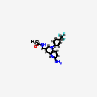 CC(=O)NCC1Cc2nc(N)ccc2N(c2ccc(C(F)(F)F)cc2)C1